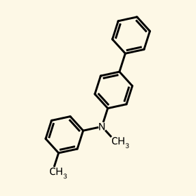 Cc1cccc(N(C)c2ccc(-c3ccccc3)cc2)c1